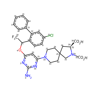 Nc1nc(OC(c2ccc(Cl)cc2-c2ccccc2)C(F)(F)F)cc(N2CCC3(CC2)C[C@@H](C(=O)O)N(C(=O)O)C3)n1